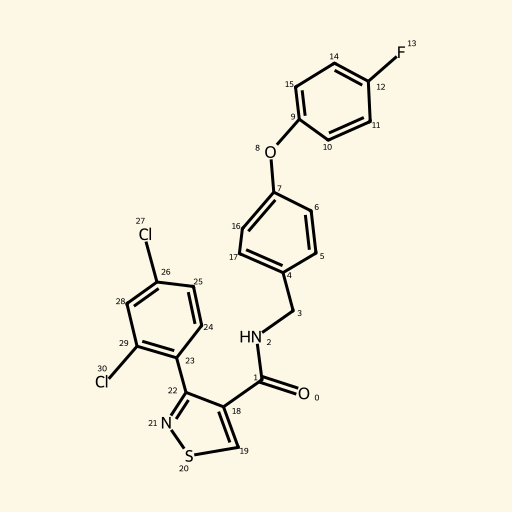 O=C(NCc1ccc(Oc2ccc(F)cc2)cc1)c1csnc1-c1ccc(Cl)cc1Cl